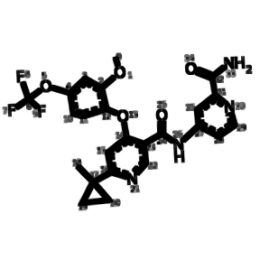 COc1cc(OC(F)(F)F)ccc1Oc1cc(C2(C)CC2)ncc1C(=O)Nc1ccnc(C(N)=O)c1